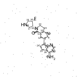 Nc1ncnn2c(-c3cnc4c(c3)C(=O)N([C@@H]3CNC[C@@H]3F)CC4)ccc12